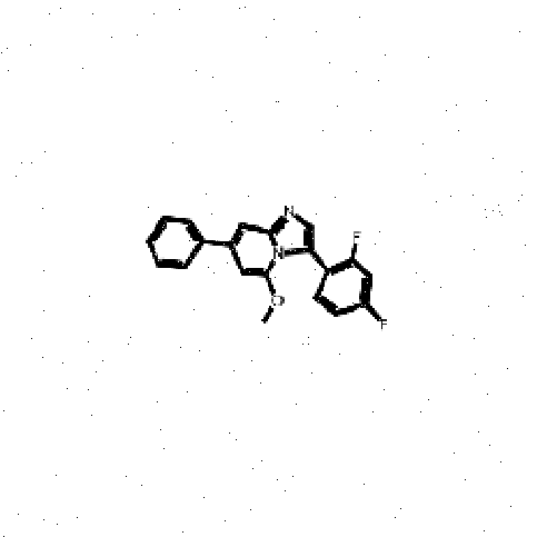 COc1cc(-c2ccccc2)cc2ncc(-c3ccc(F)cc3F)n12